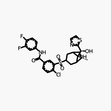 C[C@H]1CC2CC(S(=O)(=O)c3cc(C(=O)Nc4ccc(F)c(F)c4)ccc3Cl)CC1[C@@]2(O)[C@H](O)c1nccs1